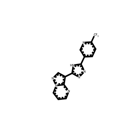 FC(F)(F)c1ccc(-c2nnc(-c3cnn4cccnc34)[nH]2)cn1